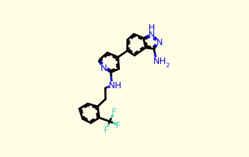 Nc1n[nH]c2ccc(-c3ccnc(NCCc4ccccc4C(F)(F)F)c3)cc12